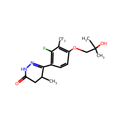 CC1CC(=O)NN=C1c1ccc(OCC(C)(C)O)c(C(F)(F)F)c1F